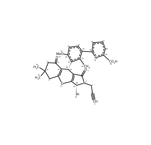 C#CCN1C(=O)C2=C(OC3=C(C(=O)CC(C)(C)C3)[C@@H]2c2c(OC)ccc(-c3cccc(C(=O)O)n3)c2C)[C@H]1C(C)C